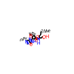 CCCOc1ccc(S(=O)(=O)NC(CCO)CCCOC)cc1-c1nc2c(CCC)nn(C)c2c(=O)[nH]1